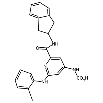 Cc1ccccc1Nc1cc(NC(=O)O)cc(C(=O)NC2Cc3ccccc3C2)n1